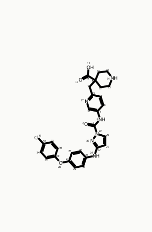 O=C(Nc1ccc(CC2(C(=O)O)CCNCC2)nc1)n1ccc(Nc2ccc(Oc3ccc(Cl)cc3)cc2)n1